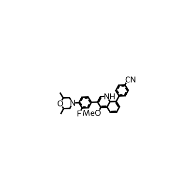 COC1=C2C=CC=C(c3ccc(C#N)cc3)C2NC=C1c1ccc(N2CC(C)OC(C)C2)c(F)c1